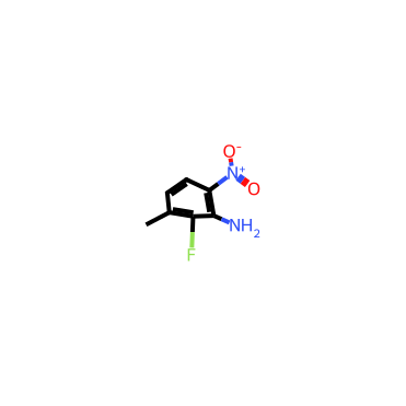 Cc1ccc([N+](=O)[O-])c(N)c1F